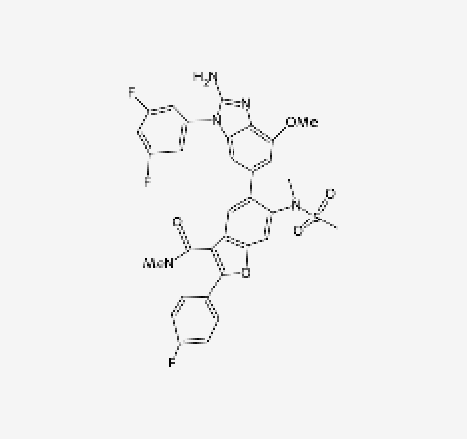 CNC(=O)c1c(-c2ccc(F)cc2)oc2cc(N(C)S(C)(=O)=O)c(-c3cc(OC)c4nc(N)n(-c5cc(F)cc(F)c5)c4c3)cc12